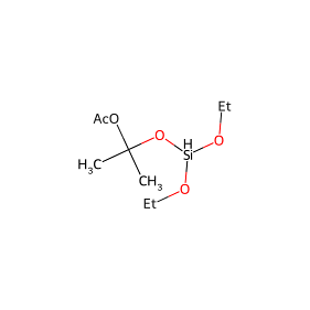 CCO[SiH](OCC)OC(C)(C)OC(C)=O